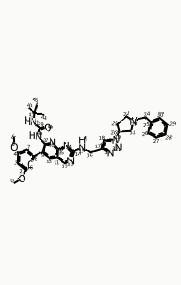 COc1cc(OC)cc(-c2cc3cnc(NCc4cn(C5CCN(Cc6ccccc6)C5)nn4)nc3nc2NC(=O)NC(C)(C)C)c1